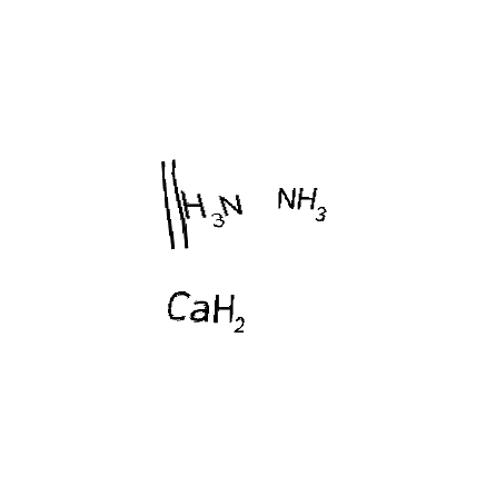 C=C.N.N.[CaH2]